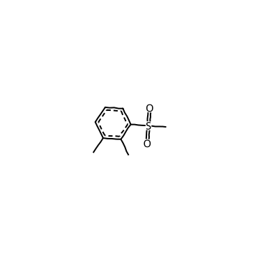 Cc1cccc(S(C)(=O)=O)c1C